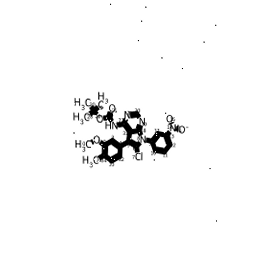 COc1cc(-c2c(Cl)n(-c3cccc([N+](=O)[O-])c3)c3ncnc(NC(=O)OC(C)(C)C)c23)ccc1C